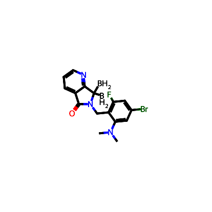 BC1(B)c2ncccc2C(=O)N1Cc1c(F)cc(Br)cc1N(C)C